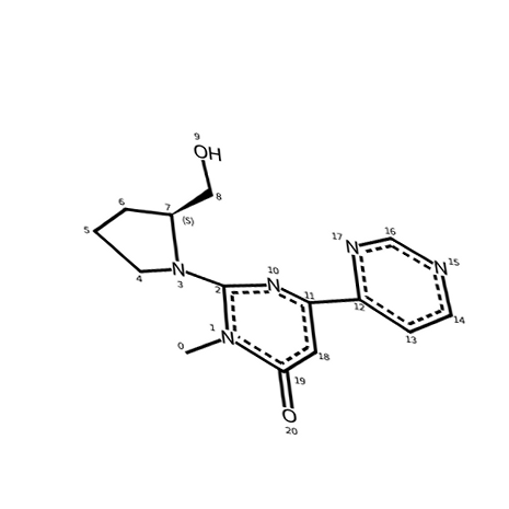 Cn1c(N2CCC[C@H]2CO)nc(-c2ccncn2)cc1=O